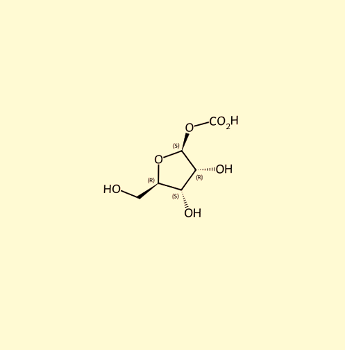 O=C(O)O[C@@H]1O[C@H](CO)[C@@H](O)[C@H]1O